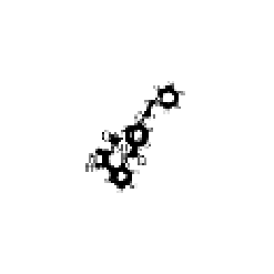 CC(=O)Oc1cn[nH]c1-c1ccccc1NC(=O)c1ccc(OCCN2CCCCC2)cc1